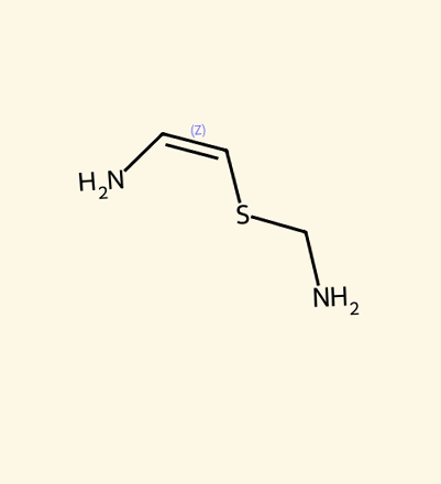 N/C=C\SCN